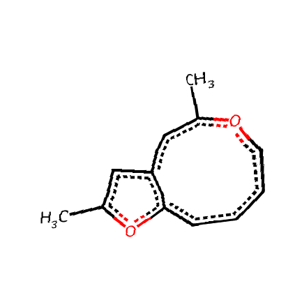 Cc1cc2cc(C)oc2cccco1